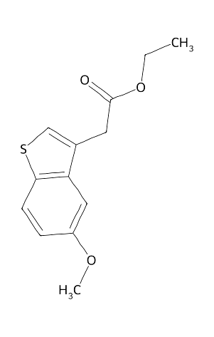 CCOC(=O)Cc1csc2ccc(OC)cc12